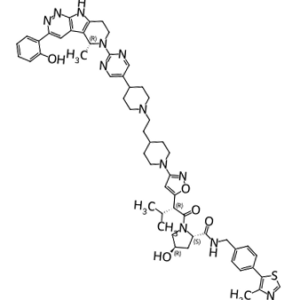 Cc1ncsc1-c1ccc(CNC(=O)[C@@H]2C[C@@H](O)CN2C(=O)[C@@H](c2cc(N3CCC(CCN4CCC(c5cnc(N6CCc7[nH]c8nnc(-c9ccccc9O)cc8c7[C@H]6C)nc5)CC4)CC3)no2)C(C)C)cc1